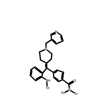 CCNc1ccccc1C(=C1CCN(Cc2cccnc2)CC1)c1ccc(C(=O)N(CC)CC)cc1